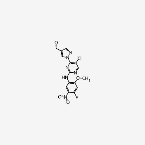 COc1cc(F)c([N+](=O)[O-])cc1Nc1ncc(Cl)c(-n2cc(C=O)cn2)n1